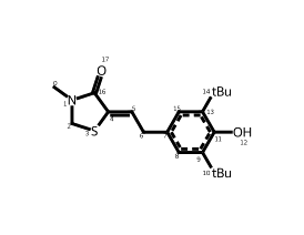 CN1CSC(=CCc2cc(C(C)(C)C)c(O)c(C(C)(C)C)c2)C1=O